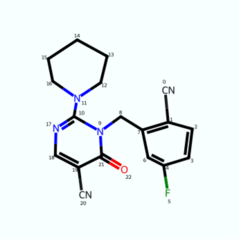 N#Cc1ccc(F)cc1Cn1c(N2CCCCC2)ncc(C#N)c1=O